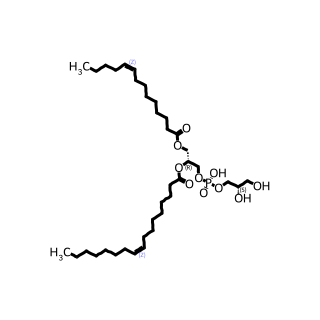 CCCC/C=C\CCCCCCCC(=O)OC[C@H](COP(=O)(O)OC[C@@H](O)CO)OC(=O)CCCCCCC/C=C\CCCCCCC